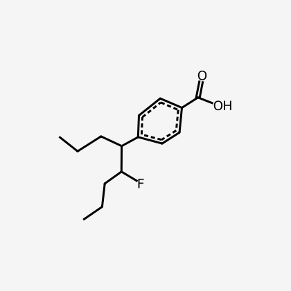 CCCC(F)C(CCC)c1ccc(C(=O)O)cc1